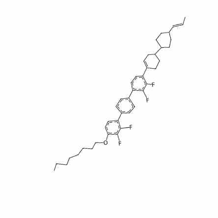 C/C=C/C1CCC(C2CC=C(c3ccc(-c4ccc(-c5ccc(OCCCCCCCC)c(F)c5F)cc4)c(F)c3F)CC2)CC1